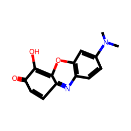 CN(C)c1ccc2nc3ccc(=O)c(O)c-3oc2c1